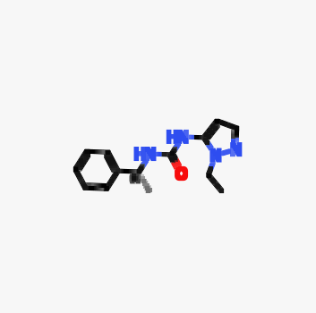 CCn1nccc1NC(=O)N[C@H](C)c1ccccc1